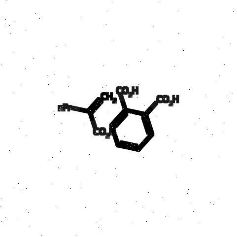 C=C(CCC)C(=O)O.O=C(O)c1ccccc1C(=O)O